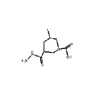 NNC(=O)C1CC(F)CN(C(=O)O)C1